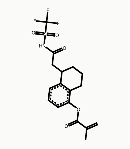 C=C(C)C(=O)Oc1cccc2c1CCCC2CC(=O)NS(=O)(=O)C(F)(F)F